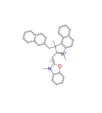 CN1/C(=C/C2=[N+](C)c3ccc4ccccc4c3C2(C)Cc2ccc3ccccc3c2)Oc2ccccc21